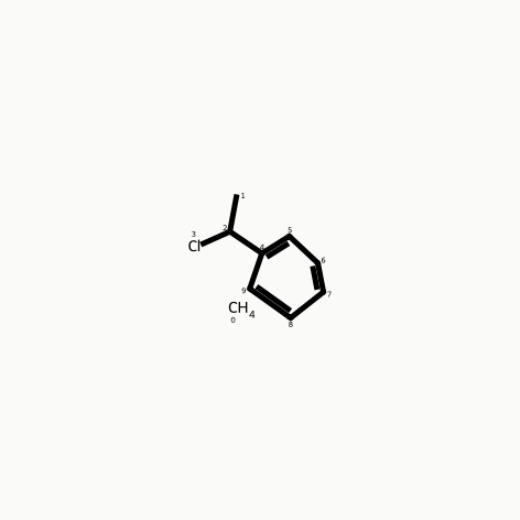 C.CC(Cl)c1ccccc1